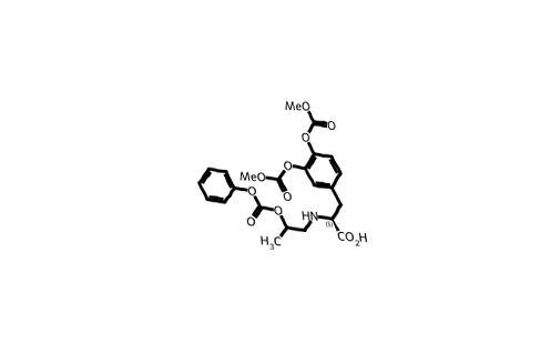 COC(=O)Oc1ccc(C[C@H](NCC(C)OC(=O)Oc2ccccc2)C(=O)O)cc1OC(=O)OC